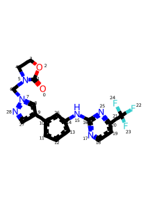 O=C1OCCN1Cn1cc(-c2cccc(Nc3nccc(C(F)(F)F)n3)c2)cn1